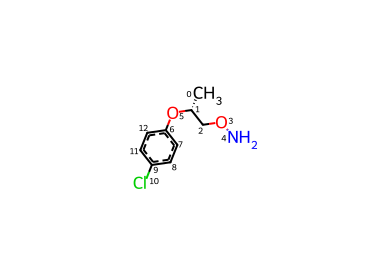 C[C@H](CON)Oc1ccc(Cl)cc1